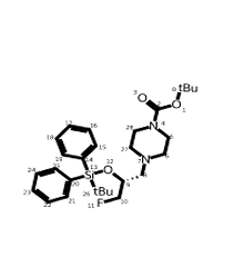 CC(C)(C)OC(=O)N1CCN(C[C@H](CF)O[Si](c2ccccc2)(c2ccccc2)C(C)(C)C)CC1